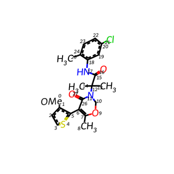 COc1ccsc1C1=C(C)OCN(C(C)(C)C(=O)Nc2cc(Cl)ccc2C)C1=O